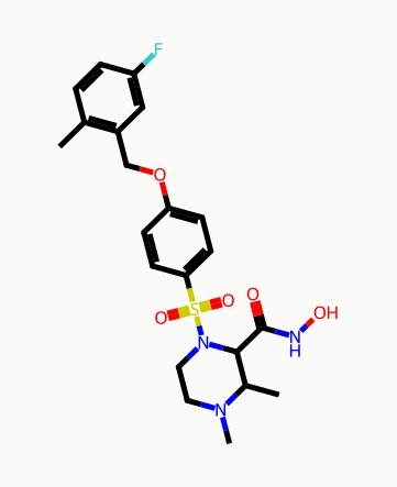 Cc1ccc(F)cc1COc1ccc(S(=O)(=O)N2CCN(C)C(C)C2C(=O)NO)cc1